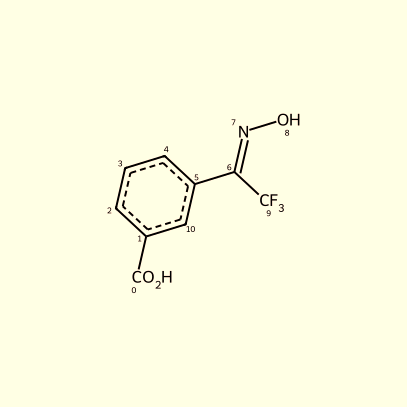 O=C(O)c1cccc(C(=NO)C(F)(F)F)c1